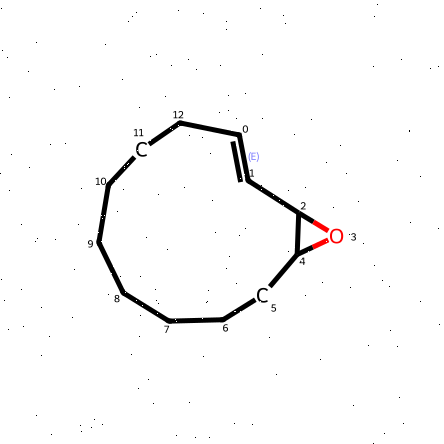 C1=C/C2OC2CCCCCCCC/1